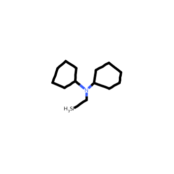 [SiH3]CN(C1CCCCC1)C1CCCCC1